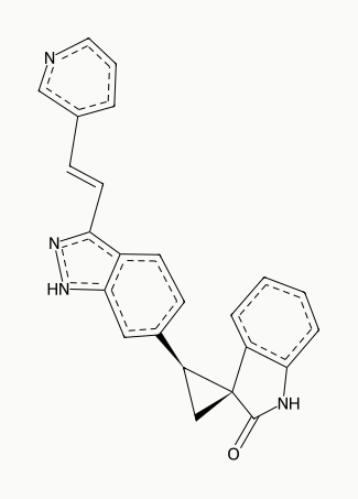 O=C1Nc2ccccc2[C@]12C[C@H]2c1ccc2c(C=Cc3cccnc3)n[nH]c2c1